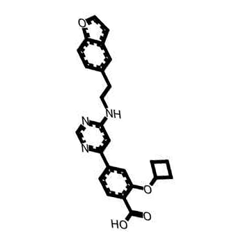 O=C(O)c1ccc(-c2cc(NCCc3ccc4occc4c3)ncn2)cc1OC1CCC1